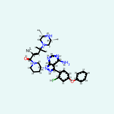 C[C@@H]1CN(C(C)(C)C=C(C#N)C(=O)N2CCC[C@@H](n3nc(-c4ccc(Oc5ccccc5)cc4F)c4c(N)ncnc43)C2)C[C@H](C)N1